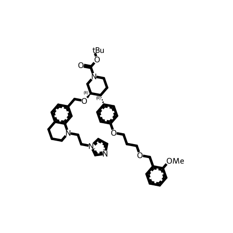 COc1ccccc1COCCCOc1ccc([C@H]2CCN(C(=O)OC(C)(C)C)C[C@@H]2OCc2ccc3c(c2)N(CCn2ccnc2)CCC3)cc1